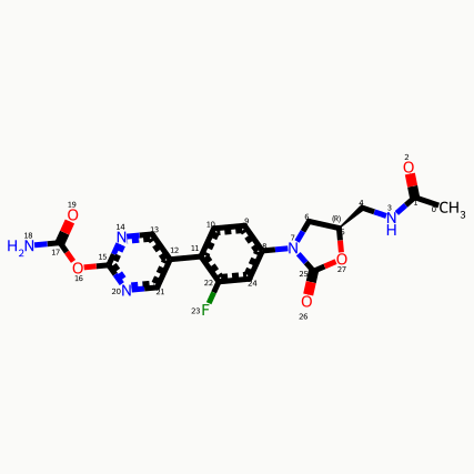 CC(=O)NC[C@@H]1CN(c2ccc(-c3cnc(OC(N)=O)nc3)c(F)c2)C(=O)O1